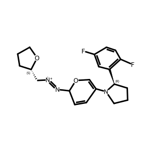 Fc1ccc(F)c([C@H]2CCCN2C2=COC(N=[N+]C[C@@H]3CCCO3)C=C2)c1